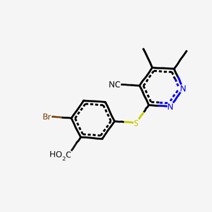 Cc1nnc(Sc2ccc(Br)c(C(=O)O)c2)c(C#N)c1C